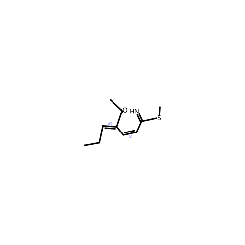 CC/C=C(\C=C/C(=N)SC)C(C)=O